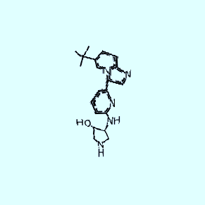 CC(C)(C)c1ccc2ncc(-c3cccc(N[C@H]4CNC[C@@H]4O)n3)n2c1